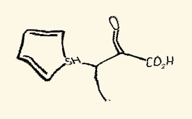 [CH2]C(C(=O)C(=O)O)[SH]1C=CC=C1